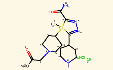 COC(=O)CN1CCC(S2(C)C(C(N)=O)=NN=C2C2CCNCC2)CC1.Cl.Cl